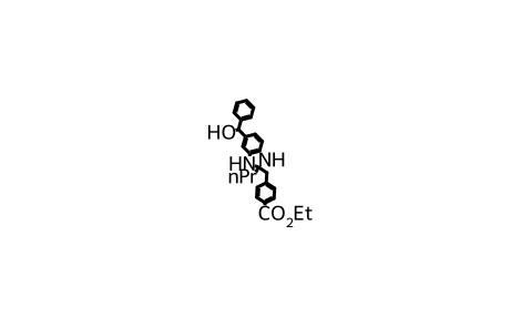 CCCC1(Cc2ccc(C(=O)OCC)cc2)Nc2ccc(C(O)c3ccccc3)cc2N1